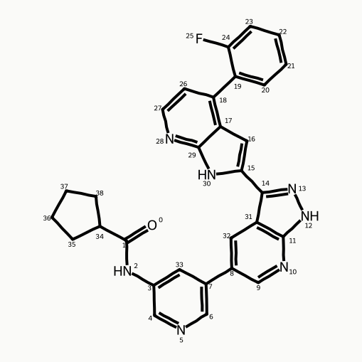 O=C(Nc1cncc(-c2cnc3[nH]nc(-c4cc5c(-c6ccccc6F)ccnc5[nH]4)c3c2)c1)C1CCCC1